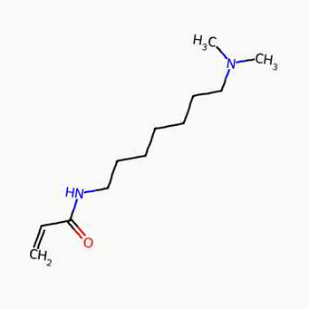 C=CC(=O)NCCCCCCCN(C)C